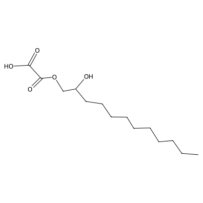 CCCCCCCCCCC(O)COC(=O)C(=O)O